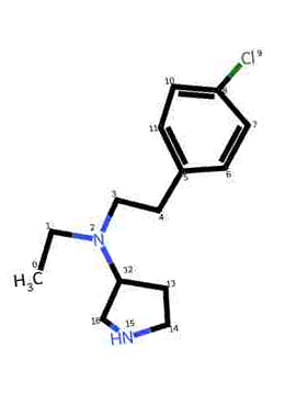 CCN(CCc1ccc(Cl)cc1)C1CCNC1